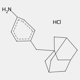 Cl.Nc1ccc(CC23CC4CC(CC(C4)C2)C3)cc1